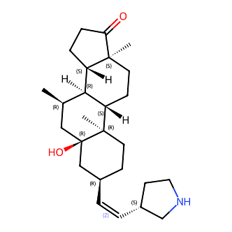 C[C@@H]1C[C@@]2(O)C[C@H](/C=C\[C@@H]3CCNC3)CC[C@]2(C)[C@H]2CC[C@]3(C)C(=O)CC[C@H]3[C@H]12